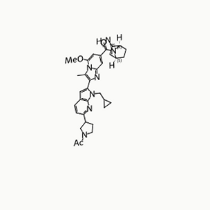 COc1cc(C(=O)N2[C@H]3CC[C@@H]2[C@H](N)C3)cc2nc(-c3cc4ccc(C5CCN(C(C)=O)C5)nc4n3CC3CC3)c(C)n12